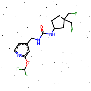 O=C(NCc1ccnc(OC(F)F)c1)NC1CCC(CF)(CF)C1